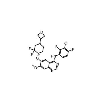 COc1cc2ncnc(Nc3ccc(F)c(Cl)c3F)c2cc1O[C@H]1CCN(C2COC2)CC1(F)F